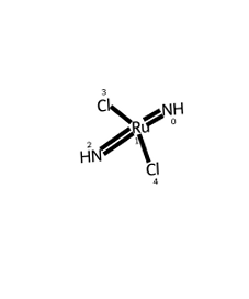 [NH]=[Ru](=[NH])([Cl])[Cl]